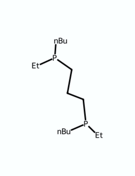 CCCCP(CC)CCCP(CC)CCCC